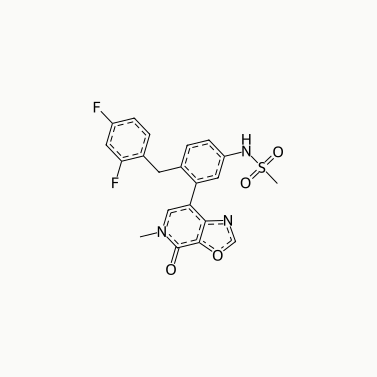 Cn1cc(-c2cc(NS(C)(=O)=O)ccc2Cc2ccc(F)cc2F)c2ncoc2c1=O